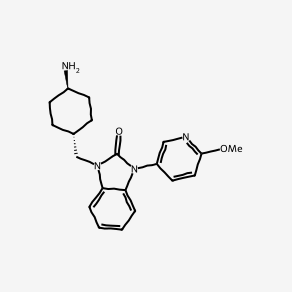 COc1ccc(-n2c(=O)n(C[C@H]3CC[C@H](N)CC3)c3ccccc32)cn1